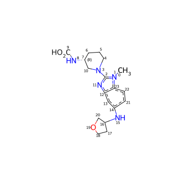 Cn1c(N2CCC[C@@H](NC(=O)O)C2)nc2cc(NC3CCOC3)ccc21